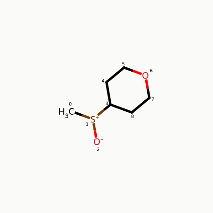 C[S+]([O-])C1CCOCC1